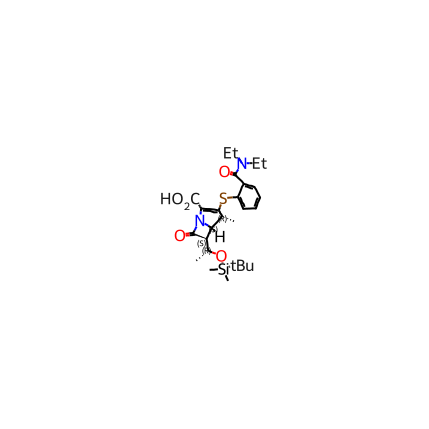 CCN(CC)C(=O)c1ccccc1SC1=C(C(=O)O)N2C(=O)[C@H]([C@@H](C)O[Si](C)(C)C(C)(C)C)[C@H]2[C@H]1C